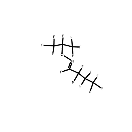 FC(=NOC(F)(C(F)(F)F)C(F)(F)F)C(F)(F)C(F)(F)C(F)(F)F